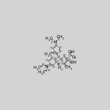 CCN(CC)c1ccc(C(c2cc(C)c(O)c(C(=O)O)c2)c2ccc(N(CC)CC)cc2C)c(C)c1